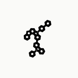 c1ccc(-c2ccc(-n3c4ccc(-c5ccc6c(c5)c5ccccc5n6-c5ccccc5)cc4c4c5c(ccc43)Cc3ccccc3-5)cc2)cc1